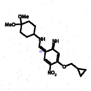 COC1(OC)CCC(N/C=C2/C=C([N+](=O)[O-])C(OCC3CC3)=CC2=N)CC1